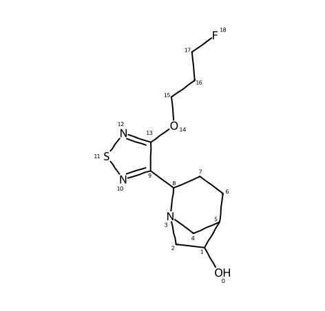 OC1CN2CC1CCC2c1nsnc1OCCCF